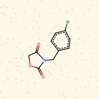 O=C1COC(=O)N1Cc1ccc(Br)cc1